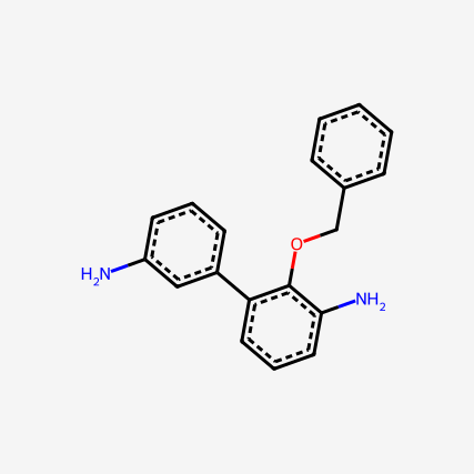 Nc1cccc(-c2cccc(N)c2OCc2ccccc2)c1